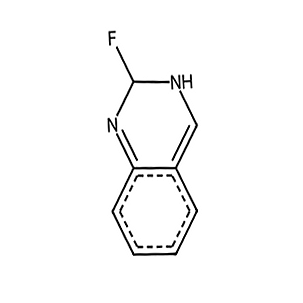 FC1N=c2ccccc2=CN1